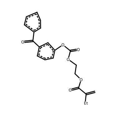 C=C(CC)C(=O)OCCOC(=O)Oc1cccc(C(=O)c2ccccc2)c1